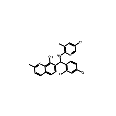 Cc1ccc2ccc(C(Nc3ncc(Cl)cc3C)c3ccc(Cl)cc3Cl)c(O)c2n1